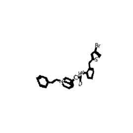 O=C(Nc1ccccc1Cc1cc(Br)cs1)OC1C[N+]2(CCc3ccccc3)CCC1CC2